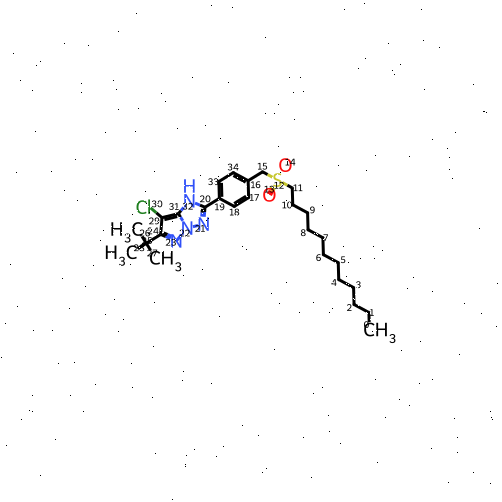 CCCCCCCCCCCCS(=O)(=O)Cc1ccc(-c2nn3nc(C(C)(C)C)c(Cl)c3[nH]2)cc1